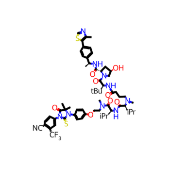 Cc1ncsc1-c1ccc([C@H](C)NC(=O)[C@@H]2C[C@@H](O)CN2C(=O)[C@@H](NC(=O)CCCN(C)[C@H](C(=O)N[C@H](C(=O)N(C)CCOc2ccc(N3C(=S)N(c4ccc(C#N)c(C(F)(F)F)c4)C(=O)C3(C)C)cc2)C(C)C)C(C)C)C(C)(C)C)cc1